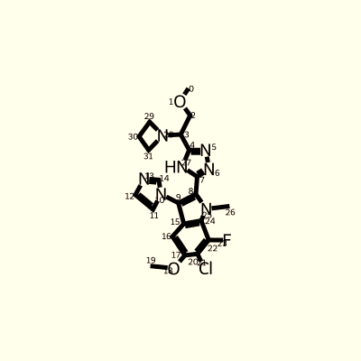 COCC(c1nnc(-c2c(-n3ccnc3)c3cc(OC)c(Cl)c(F)c3n2C)[nH]1)N1CCC1